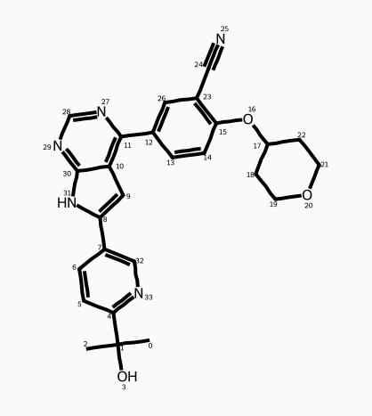 CC(C)(O)c1ccc(-c2cc3c(-c4ccc(OC5CCOCC5)c(C#N)c4)ncnc3[nH]2)cn1